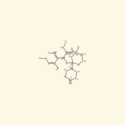 CC/C=C(F)\C(=N/C)N(CC1(N2CCNCC2)CCOC(C)(C)C1)C(=O)CC